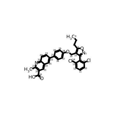 CCCc1onc(-c2c(Cl)cccc2Cl)c1COc1ccc(-c2ccc3nc(C)c(C(=O)O)cc3c2)cc1